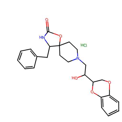 Cl.O=C1NC(Cc2ccccc2)C2(CCN(CC(O)C3COc4ccccc4O3)CC2)O1